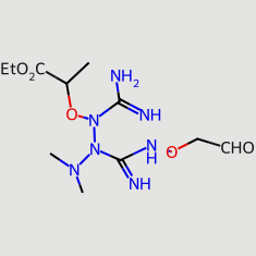 CCOC(=O)C(C)ON(C(=N)N)N(C(=N)NOCC=O)N(C)C